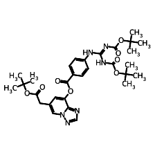 CC(C)(C)OC(=O)Cc1cc(OC(=O)c2ccc(N/C(=N/C(=O)OC(C)(C)C)NC(=O)OC(C)(C)C)cc2)c2ncnn2c1